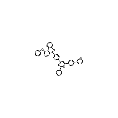 c1ccc(-c2nc(-c3ccc(-c4cccnc4)cc3)cc(-c3ccc(-c4nc5cccnc5c5c4ccc4c6ccccc6oc45)cc3)n2)cc1